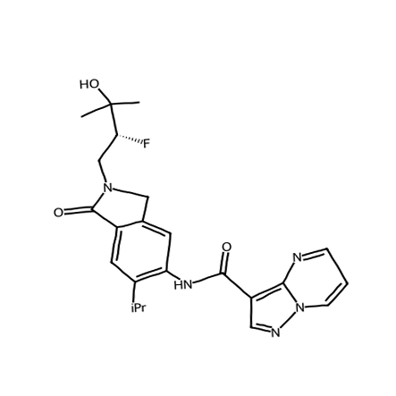 CC(C)c1cc2c(cc1NC(=O)c1cnn3cccnc13)CN(C[C@@H](F)C(C)(C)O)C2=O